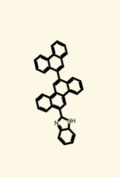 C1=CC2=NC(c3cc4c5ccccc5c(-c5cc6ccccc6c6ccccc56)cc4c4ccccc34)NC2C=C1